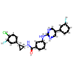 O=C(N[C@@H]1C[C@H]1c1ccc(Cl)c(F)c1)c1cccc(Nc2ncc(-c3cccc(F)c3)cn2)c1